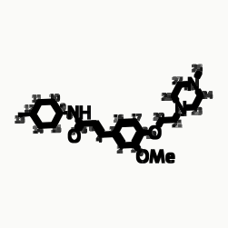 COc1cc(C=CC(=O)N[C@H]2CC[C@H](C)CC2)ccc1OCCN1CCN(C)CC1